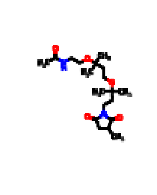 CC(=O)NCCOC(C)(C)CCOC(C)(C)CCN1C(=O)CC(C)C1=O